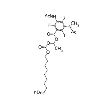 CCCCCCCCCCCCCCCCCCOC(=O)OC(C)OC(=O)c1c(I)c(NC(C)=O)c(I)c(N(C)C(C)=O)c1I